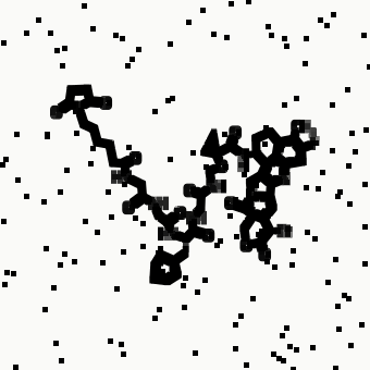 CC[C@H]1C(=O)OCc2c1cc1n(c2=O)Cc2c-1nc1cc(F)c(C)c3c1c2[C@@H](NC(=O)C1(OCNC(=O)CNC(=O)[C@H](Cc2ccccc2)NC(=O)CNC(=O)CNC(=O)CCCCCN2C(=O)C=CC2=O)CC1)CC3